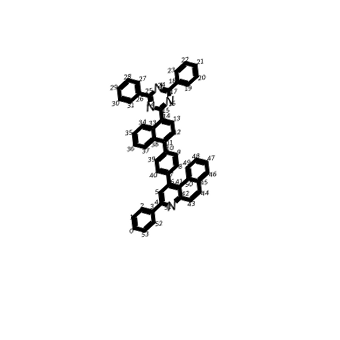 c1ccc(-c2cc(-c3ccc(-c4ccc(-c5nc(-c6ccccc6)nc(-c6ccccc6)n5)c5ccccc45)cc3)c3c(ccc4ccccc43)n2)cc1